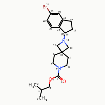 CC(C)COC(=O)N1CCC2(CC1)CN([C@@H]1CCc3cc(Br)ccc31)C2